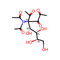 CC(=O)C(=O)[C@@](C(C)=O)([C@@H](O)[C@@H](O)[C@H](O)CO)N(C(C)=O)C(C)=O